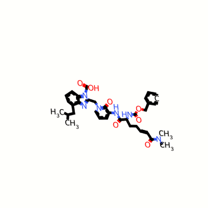 CC(C)Cc1cccc2c1nc(Cn1cccc(NC(=O)C(CC/C=C/C(=O)N(C)C)NC(=O)OCc3ccccc3)c1=O)n2C(=O)O